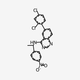 CC(Nc1ncnc2ccc(-c3ccc(Cl)cc3Cl)cc12)c1ccc([N+](=O)[O-])cc1